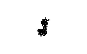 C=C1CCC(=O)N1OC(=O)COCC(=O)ON1C(=O)CCC1=O